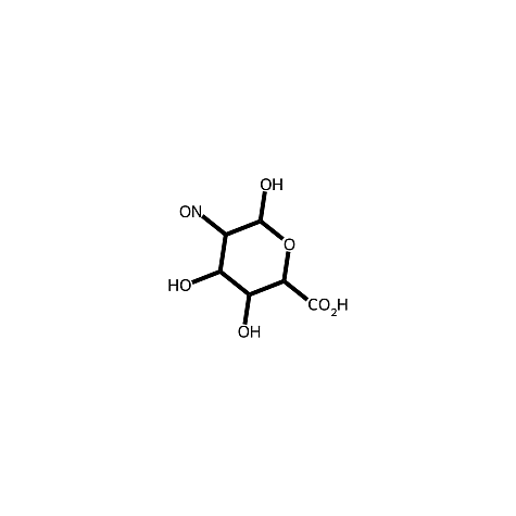 O=NC1C(O)OC(C(=O)O)C(O)C1O